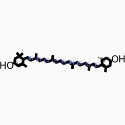 CC1=C[C@H](O)CC(C)(C)C1/C=C/C(C)=C/C=C/C(C)=C/C=C/C=C(C)/C=C/C=C(C)/C=C/C1=C(C)CC(O)C[C@H]1C